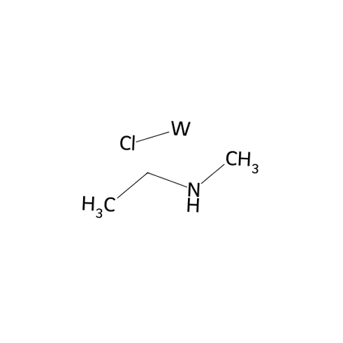 CCNC.[Cl][W]